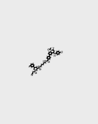 CC(=O)N1c2ccc(-c3ccc(C(=O)NCCCCCNC(=O)C4CC(c5cccc(C)c5)CN(C(=O)CC#N)C4)cc3)cc2[C@H](Nc2ccc(Cl)cc2)C[C@@H]1C